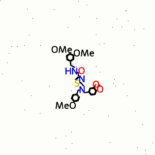 COc1ccc(CN(Cc2ccc3c(c2)OCO3)Cc2nc(C(=O)NCCc3ccc(OC)c(OC)c3)cs2)cc1